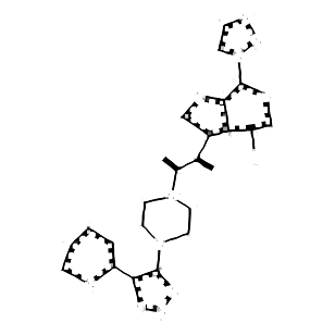 O=C(C(=O)N1CCN(c2nn[nH]c2-c2ccccn2)CC1)c1c[nH]c2c(-n3ccnn3)ncc(F)c12